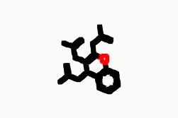 C=C(C)CC1=C(CC(=C)C)C(CC(=C)C)c2ccccc2O1